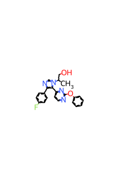 CC(CO)n1cnc(-c2ccc(F)cc2)c1-c1ccnc(Oc2ccccc2)n1